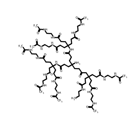 NCCNC(=O)CCC(CCC(=O)NCCNC(=O)C(F)(F)F)(CCC(=O)NCCNC(=O)C(F)(F)F)CC(=O)CCC(N)(CCC(=O)NC(CCC(=O)NCCNC(=O)C(F)(F)F)(CCC(=O)NCCNC(=O)C(F)(F)F)CCC(=O)NCCNC(=O)C(F)(F)F)CCC(=O)NC(CCC(=O)NCCNC(=O)C(F)(F)F)(CCC(=O)NCCNC(=O)C(F)(F)F)CC(=O)NCCNC(=O)C(F)(F)F